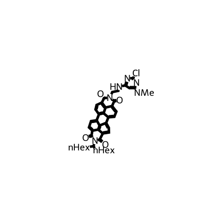 CCCCCCC(CCCCCC)N1C(=O)c2ccc3c4ccc5c6c(ccc(c7ccc(c2c37)C1=O)c64)C(=O)N(CCNc1cc(NC)nc(Cl)n1)C5=O